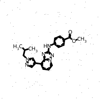 COC(=O)c1ccc(Nc2nc3c(-c4cnn(CC(C)C)c4)cccn3n2)cc1